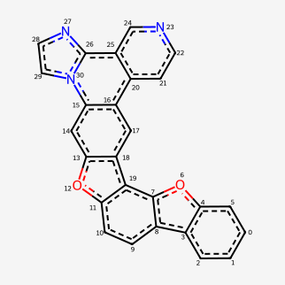 c1ccc2c(c1)oc1c2ccc2oc3cc4c(cc3c21)c1ccncc1c1nccn41